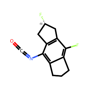 O=C=Nc1c2c(c(F)c3c1C[C@H](F)C3)CCC2